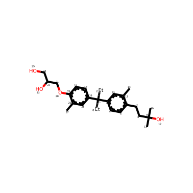 CCC(CC)(c1ccc(CCC(C)(C)O)c(C)c1)c1ccc(OCC(O)CO)c(C)c1